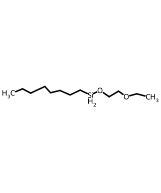 CCCCCCCC[SiH2]OCCOCC